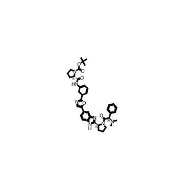 CN(C)[C@@H](C(=O)N1CCC[C@H]1c1nc2cc(-c3cnc(C4C=CC=C(NC(=O)[C@@H]5CCCN5C(=O)OC(C)(C)C)C4)o3)ccc2[nH]1)c1ccccc1